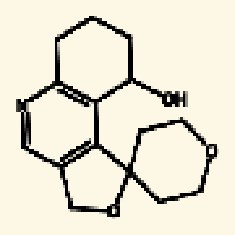 OC1CCCc2ncc3c(c21)C1(CCOCC1)OC3